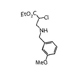 CCOC(=O)C(Cl)CNCc1cccc(OC)c1